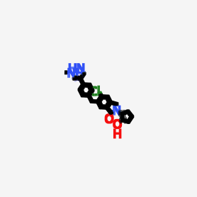 CN/C=C(\C=N)c1ccc(Cc2cc3c(cc2Cl)CN([C@H]2CCC[C@@H]2O)C3=O)cc1